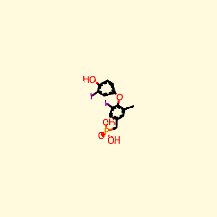 Cc1cc(CP(=O)(O)O)cc(I)c1Oc1ccc(O)c(I)c1